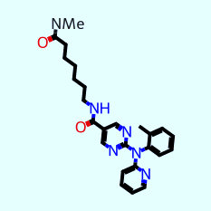 CNC(=O)CCCCCCNC(=O)c1cnc(N(c2ccccn2)c2ccccc2C)nc1